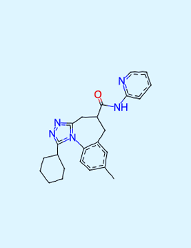 Cc1ccc2c(c1)CC(C(=O)Nc1ccccn1)Cc1nnc(C3CCCCC3)n1-2